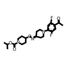 CC(=O)c1cc(F)c(N2CCC(=NOC3CCN(C(=O)OC(C)C)CC3)CC2)cc1F